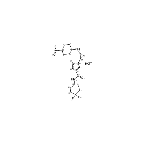 CC(=O)N1CCC(N[C@@H]2C[C@H]2c2cc(C(=O)NC3CCC(F)(F)CC3)cs2)CC1.Cl